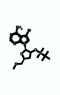 COC[C@@H]1CC(O[Si](C)(C)C(C)(C)C)[C@H](n2cc(Br)c3c(N)ncnc32)O1